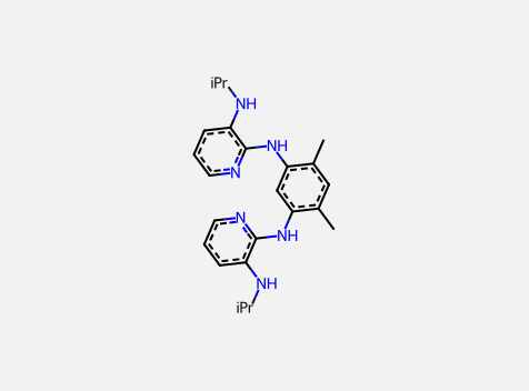 Cc1cc(C)c(Nc2ncccc2NC(C)C)cc1Nc1ncccc1NC(C)C